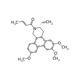 C=C[C@@H]1Cc2c(c3ccc(OC)cc3c3cc(OC)c(OC)cc23)CN1C(=O)/C=C/C